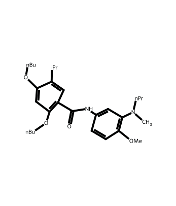 CCCCOc1cc(OCCCC)c(C(C)C)cc1C(=O)Nc1ccc(OC)c(N(C)CCC)c1